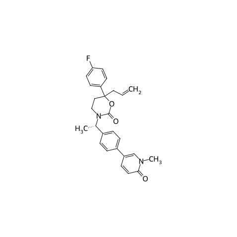 C=CCC1(c2ccc(F)cc2)CCN([C@@H](C)c2ccc(-c3ccc(=O)n(C)c3)cc2)C(=O)O1